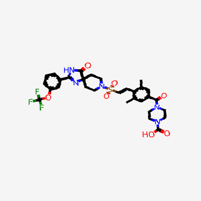 Cc1cc(C(=O)N2CCN(C(=O)O)CC2)cc(C)c1C=CS(=O)(=O)N1CCC2(CC1)N=C(c1cccc(OC(F)(F)F)c1)NC2=O